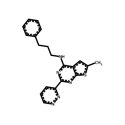 Cc1cc2c(NCCCc3ccccc3)nc(-c3cccnn3)nc2s1